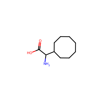 NC(C(=O)O)C1CCCCCCC1